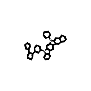 c1ccc(-c2ccccc2-c2cccc(-n3c4ccccc4c4cc5c6cc7ccccc7cc6n(-c6ccccc6)c5cc43)c2)cc1